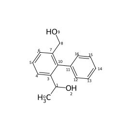 CC(O)c1cc[c]c(CO)c1-c1ccccc1